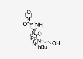 CCCCc1ncc(C(=O)N(CC(C)C)[C@@H]2CNC[C@H](C(=O)N3CCOCC3)C2)n1CCCCO